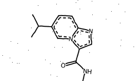 CNC(=O)c1cnc2ccc(C(C)C)cn12